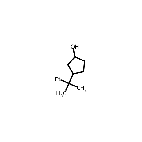 CCC(C)(C)C1CCC(O)C1